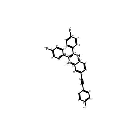 Fc1ccc(C#Cc2ccc3nc(-c4ccc(F)cc4)c(-c4ccc(F)cc4)nc3c2)cc1